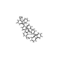 N#Cc1ccc(-c2ccc(-n3c4ccccc4c4c(C#N)cccc43)cc2)c(-n2c3ccccc3c3ccc(-n4c5ccccc5c5ccccc54)cc32)c1